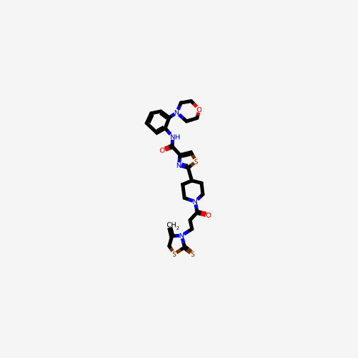 C=C1CSC(=S)N1CCC(=O)N1CCC(c2nc(C(=O)Nc3ccccc3N3CCOCC3)cs2)CC1